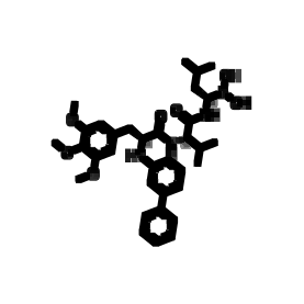 COc1cc(C[C@H](Nc2cccc(-c3ccccc3)c2)C(=O)N[C@H](C(=O)N[C@@H](CC(C)C)B(O)O)C(C)C)cc(OC)c1OC